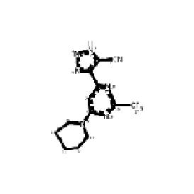 N#Cc1[nH]nnc1-c1cc(N2CCCCC2)nc(C(F)(F)F)n1